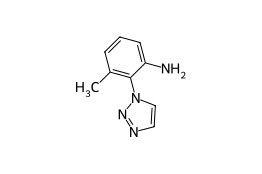 Cc1cccc(N)c1-n1ccnn1